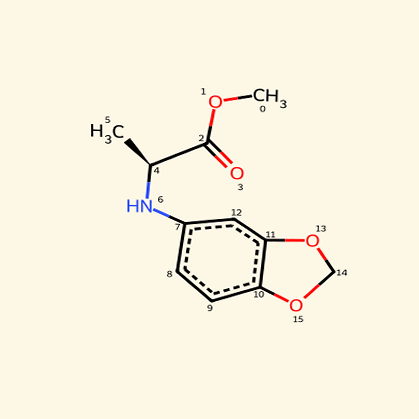 COC(=O)[C@H](C)Nc1ccc2c(c1)OCO2